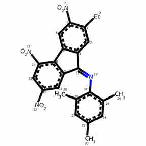 CCc1cc2c(cc1[N+](=O)[O-])-c1c(cc([N+](=O)[O-])cc1[N+](=O)[O-])C2=Nc1c(C)cc(C)cc1C